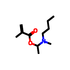 C=C(C)C(=O)OC(C)N(C)CCCC